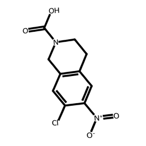 O=C(O)N1CCc2cc([N+](=O)[O-])c(Cl)cc2C1